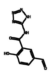 O=Cc1ccc(O)c(C(=O)Nc2nnn[nH]2)c1